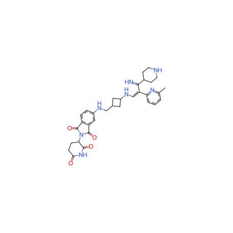 Cc1cccc(/C(=C/NC2CC(CNc3ccc4c(c3)C(=O)N(C3CCC(=O)NC3=O)C4=O)C2)C(=N)C2CCNCC2)n1